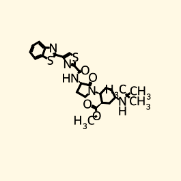 COC(=O)[C@@H]1C[C@H](NC(C)(C)C)CC[C@@H]1N1CC[C@H](NC(=O)c2nc(-c3nc4ccccc4s3)cs2)C1=O